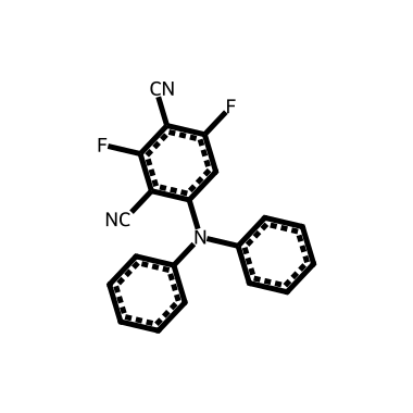 N#Cc1c(F)cc(N(c2ccccc2)c2ccccc2)c(C#N)c1F